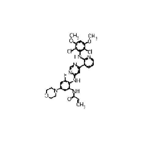 C=CC(=O)Nc1cc(N2CCOCC2)cc(F)c1Nc1cc(-c2cccnc2Nc2c(Cl)c(OC)cc(OC)c2Cl)ncn1